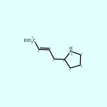 CCOC(=O)/C=C/CC1CCCN1